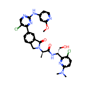 COc1cc(Nc2ncc(Cl)c(-c3ccc4c(c3)C(=O)N([C@H](C)C(=O)N[C@H](CO)c3nc(N(C)C)ccc3Cl)C4)n2)ccn1